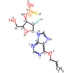 C=CCOc1ncnc2c1ncn2[C@@H]1OC(CO)[C@@H](O[PH](O)=S)[C@H]1F